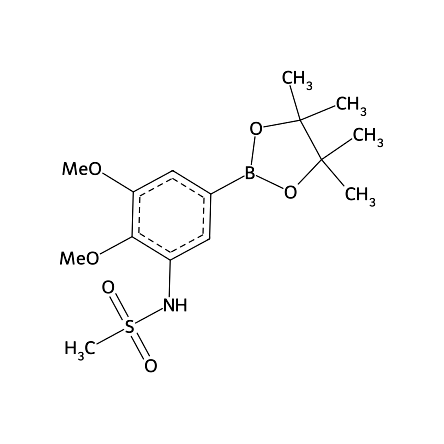 COc1cc(B2OC(C)(C)C(C)(C)O2)cc(NS(C)(=O)=O)c1OC